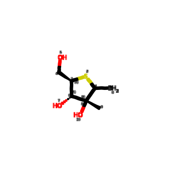 BC1S[C@H](CO)[C@@H](O)[C@@]1(C)O